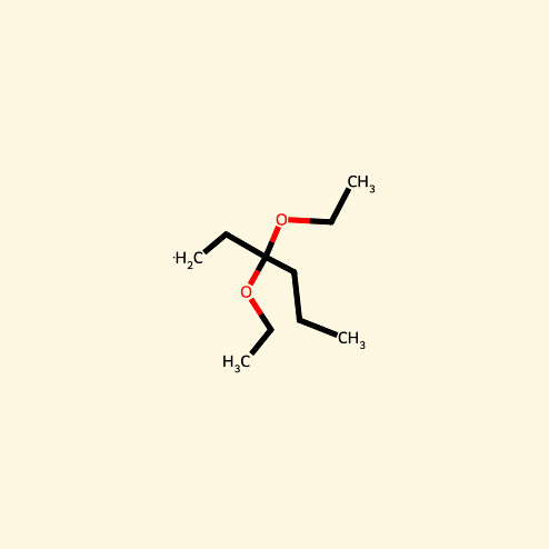 [CH2]CC(CCC)(OCC)OCC